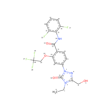 CCn1c(CO)nn(-c2ccc(C(=O)Nc3c(F)cccc3F)c(OCC(F)(F)F)c2)c1=O